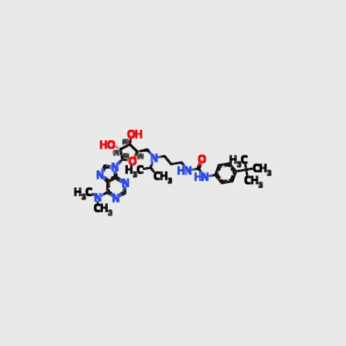 CC(C)N(CCCNC(=O)Nc1ccc(C(C)(C)C)cc1)C[C@H]1O[C@@H](n2cnc3c(N(C)C)ncnc32)[C@H](O)[C@H]1O